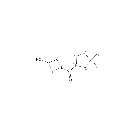 CC1(C)CCN(C(=O)N2CC(O)C2)C1